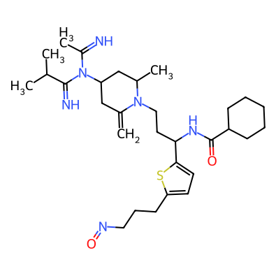 C=C1CC(N(C(C)=N)C(=N)C(C)C)CC(C)N1CCC(NC(=O)C1CCCCC1)c1ccc(CCCN=O)s1